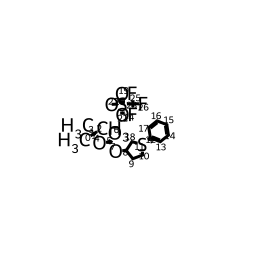 CC(C)(C)OC(=O)OC1CC[S+](c2ccccc2)C1.O=S(=O)([O-])C(F)(F)F